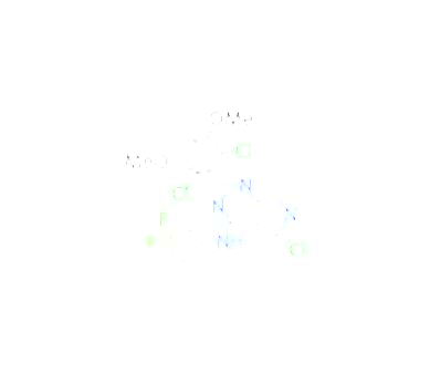 COc1cc(OC)c(Cl)c(-c2nc(NC3CCC(F)(F)C3)c3cc(Cl)ncc3n2)c1Cl